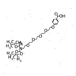 CC(C)(C)OC(=O)N(CCOCCOCCOCCOCCOc1ccc(C(=O)O)cc1)C(=O)OC(C)(C)C